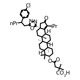 CCCC(Cc1nnc([C@@]23CC[C@]4(C)[C@H](CC[C@@H]5[C@@]6(C)CC[C@H](OC(=O)CC(C)(C)C(=O)O)C(C)(C)[C@@H]6CC[C@]54C)C2=C(C(C)C)C(=O)C3)o1)c1ccc(Cl)cc1